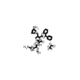 CCON=C(C(=O)NC1C(=O)N2C(C(=O)OC(c3ccccc3)c3ccccc3)=C(C[n+]3cccc(N)c3)CS[C@@H]12)c1nsc(N)n1.O=C([O-])C(F)(F)F